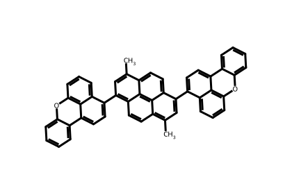 Cc1cc(-c2ccc3c4c(cccc24)Oc2ccccc2-3)c2ccc3c(C)cc(-c4ccc5c6c(cccc46)Oc4ccccc4-5)c4ccc1c2c34